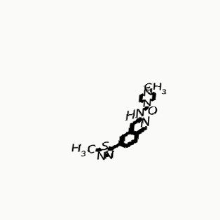 Cc1nnc(-c2ccc3cnc(NC(=O)N4CCN(C)CC4)cc3c2)s1